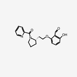 O=Cc1c(O)cccc1OCC[C@@H]1CCCN1C(=O)c1ccccn1